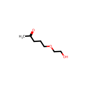 CC(=O)CCCOCCO